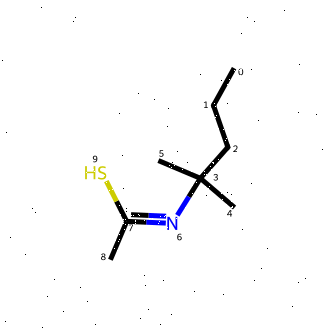 CCCC(C)(C)/N=C(/C)S